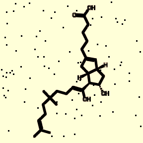 CC(C)=CCCC(C)(C)CCC=C(O)[C@H]1[C@@H]2CC(CCCCC(=O)O)=C[C@@H]2C[C@@H]1O